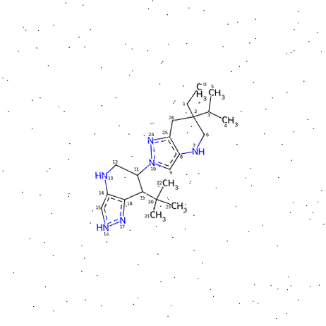 CCC1(C(C)C)CNc2cn(C3CNc4c[nH]nc4C3C(C)(C)C)nc2C1